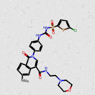 CNc1ccc2c(=O)n(-c3ccc(NC(=O)NS(=O)(=O)c4ccc(Cl)s4)cc3)cc(C(=O)NCCN3CCOCC3)c2c1